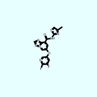 Cc1csc(NC(=O)c2cc(Oc3cnc(F)c(F)c3)cn3ncnc23)n1